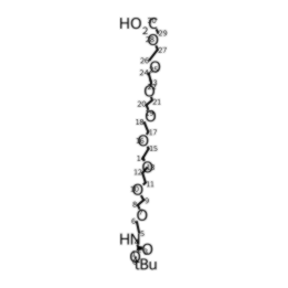 CC(C)(C)OC(=O)NCCOCCOCCOCCOCCOCCOCCOCCOCC(=O)O